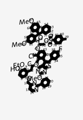 CCOC(=O)[C@@H](Cc1cc(O)ccc1OCc1ccnc(-c2ccccc2OC)n1)Oc1ncnc2sc(-c3ccc(F)cc3)c(-c3ccc(O[C@H](COC(c4ccccc4)(c4ccc(OC)cc4)c4ccc(OC)cc4)COS(=O)(=O)c4ccc(C)cc4)c(Cl)c3C)c12